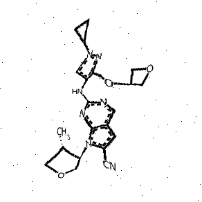 C[C@H]1COC[C@@H]1n1c(C#N)cc2cnc(Nc3cn(C4CC4)nc3OC3COC3)nc21